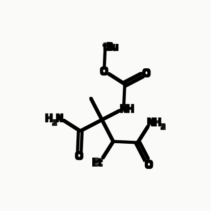 CCC(C(N)=O)C(C)(NC(=O)OC(C)(C)C)C(N)=O